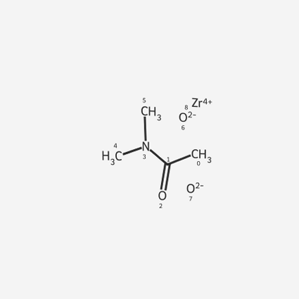 CC(=O)N(C)C.[O-2].[O-2].[Zr+4]